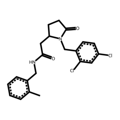 Cc1ccccc1CNC(=O)CC1CCC(=O)N1Cc1ccc(Cl)cc1Cl